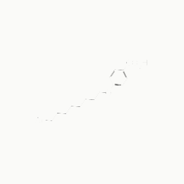 CC(=O)CCCCCCCCOc1ccc(C(=O)O)cc1